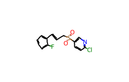 O=S(=O)(CC=Cc1ccccc1F)c1ccc(Cl)nc1